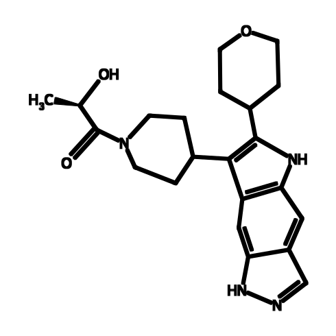 C[C@@H](O)C(=O)N1CCC(c2c(C3CCOCC3)[nH]c3cc4cn[nH]c4cc23)CC1